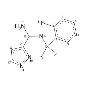 CC1(c2c[c]ccc2F)Cn2nccc2C(N)=N1